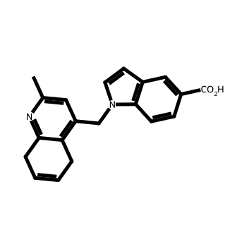 Cc1cc(Cn2ccc3cc(C(=O)O)ccc32)c2c(n1)CC=CC2